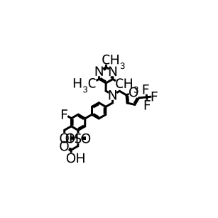 Cc1nc(C)c(CN(Cc2ccc(-c3cc(F)c(CO)c(S(=O)(=O)CC(=O)O)c3)cc2)Cc2ccc(C(F)(F)F)o2)c(C)n1